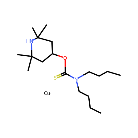 CCCCN(CCCC)C(=S)OC1CC(C)(C)NC(C)(C)C1.[Cu]